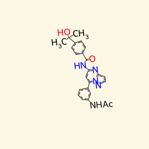 CC(=O)Nc1cccc(-c2cc(NC(=O)c3ccc(C(C)(C)O)cc3)nc3ccnn23)c1